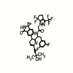 CC(C)(O)C#CC1=CCC(c2ccc3c(c2)C(=O)NC32CC2)C(C(Cc2cc(F)cc(F)c2)NC(=O)Cn2nc(C(F)(F)F)c3c2C(F)(F)CC3)=N1